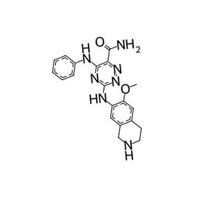 COc1cc2c(cc1Nc1nnc(C(N)=O)c(Nc3ccccc3)n1)CNCC2